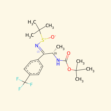 C[C@H](NC(=O)OC(C)(C)C)/C(=N\[S+]([O-])C(C)(C)C)c1ccc(C(F)(F)F)cc1